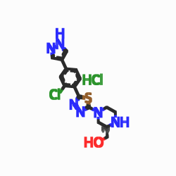 Cl.OC[C@H]1CN(c2nnc(-c3ccc(-c4cn[nH]c4)cc3Cl)s2)CCN1